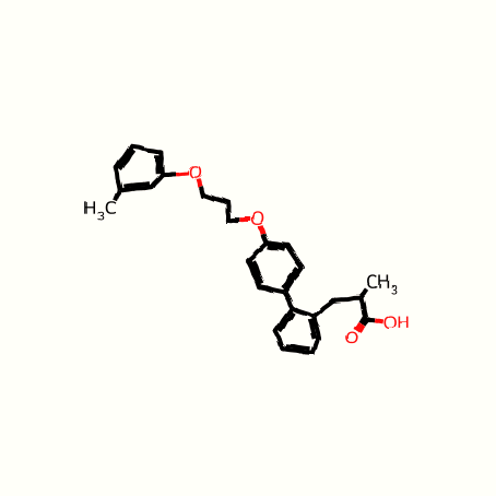 Cc1cccc(OCCCOc2ccc(-c3ccccc3CC(C)C(=O)O)cc2)c1